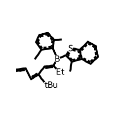 C=C/C=C(\C=C(/CC)B(c1sc2ccccc2c1C)c1c(C)cccc1C)C(C)(C)C